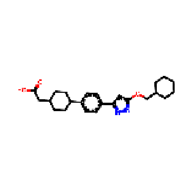 O=C(O)CC1CCC(c2ccc(-c3cc(OCC4CCCCC4)n[nH]3)cc2)CC1